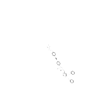 CC(C)N1C(=O)N(Cc2ncnc(OCc3ccccc3)c2OCc2ccccc2)CC1c1ccc(C#Cc2ccc(CNC3CCOC3)cc2)cc1